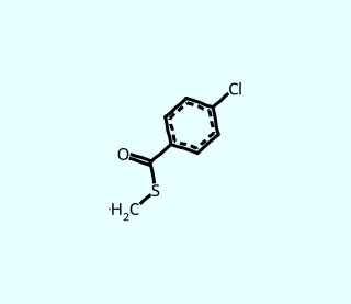 [CH2]SC(=O)c1ccc(Cl)cc1